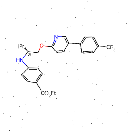 CCOC(=O)c1ccc(N[C@H](COc2ccc(-c3ccc(C(F)(F)F)cc3)cn2)C(C)C)cc1